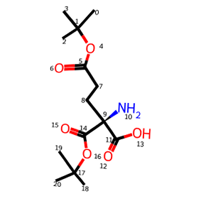 CC(C)(C)OC(=O)CC[C@](N)(C(=O)O)C(=O)OC(C)(C)C